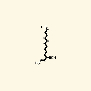 C#CC(CCC)CCCCCCCCCCC